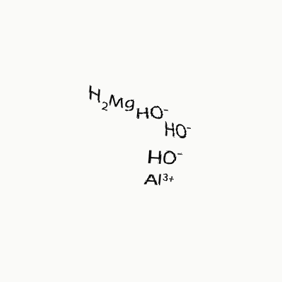 [Al+3].[MgH2].[OH-].[OH-].[OH-]